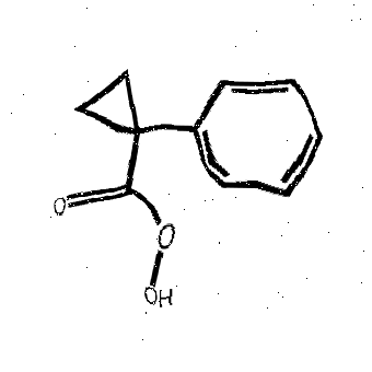 O=C(OO)C1(c2ccccc2)CC1